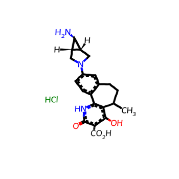 CC1CCc2cc(N3C[C@@H]4[C@@H](N)[C@@H]4C3)ccc2-c2[nH]c(=O)c(C(=O)O)c(O)c21.Cl